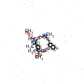 COCCOCCn1nc(C)c2c1C(C)OCc1cc(n(C)n1)CCc1cc(c3ccc(F)cc3c1)OCCCn1c(C(=O)OC)c(C)c3c-2c(Cl)ccc31